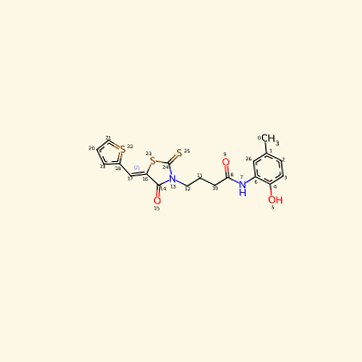 Cc1ccc(O)c(NC(=O)CCCN2C(=O)/C(=C/c3cccs3)SC2=S)c1